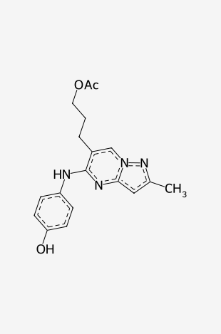 CC(=O)OCCCc1cn2nc(C)cc2nc1Nc1ccc(O)cc1